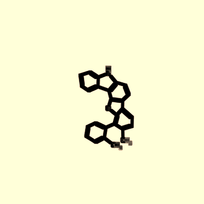 Cc1ccccc1-c1c(C)ccc2c1oc1c2ccc2[nH]c3ccccc3c21